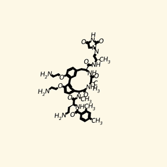 Cc1ccc(C(=O)N[C@@H](CCN)C(=O)N(C)[C@@H]2C(=O)N[C@@H](C)C(=O)N[C@H](C(=O)N[C@@H](C)/C=N/N3CC(=O)NC3=O)Cc3ccc(OCCN)c(c3)-c3cc2ccc3OCCN)c(C)c1